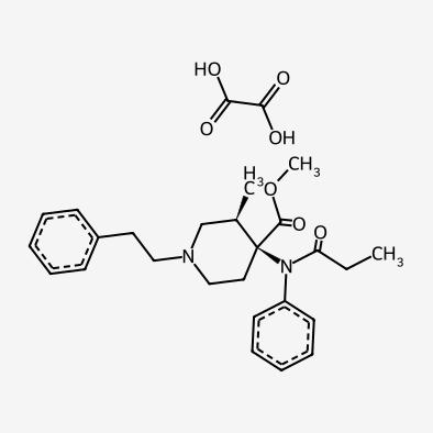 CCC(=O)N(c1ccccc1)[C@@]1(C(=O)OC)CCN(CCc2ccccc2)C[C@H]1C.O=C(O)C(=O)O